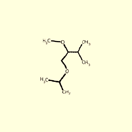 COC(COC(C)C)C(C)C